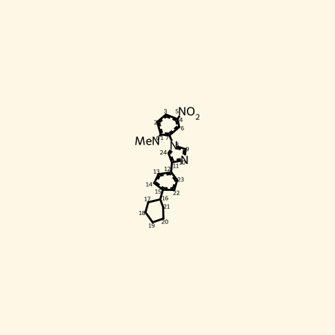 CNc1ccc([N+](=O)[O-])cc1-n1cnc(-c2ccc(C3CCCCC3)cc2)c1